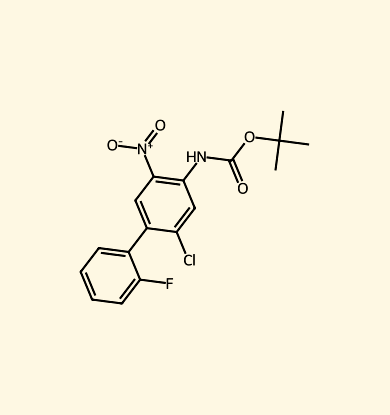 CC(C)(C)OC(=O)Nc1cc(Cl)c(-c2ccccc2F)cc1[N+](=O)[O-]